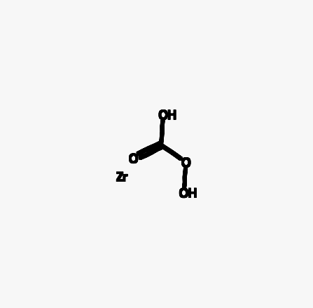 O=C(O)OO.[Zr]